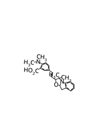 CN(C)c1ccc(C=CC2OC3Cc4ccccc4N3C2(C)C)cc1C(=O)O